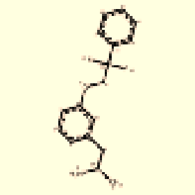 C[C@@H](N)Cc1cccc(OCC(F)(F)c2ccccc2)c1